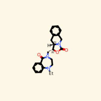 CCN1CCN(C[C@H]2OC(=O)N3Cc4ccccc4C[C@@H]23)C(=O)c2ccccc21